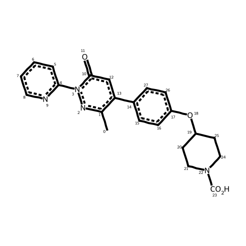 Cc1nn(-c2ccccn2)c(=O)cc1-c1ccc(OC2CCN(C(=O)O)CC2)cc1